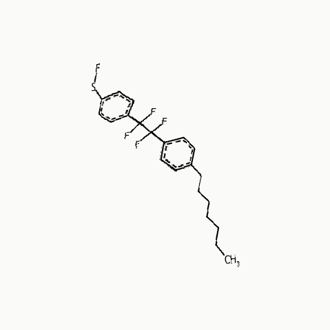 CCCCCCCc1ccc(C(F)(F)C(F)(F)c2ccc(SF)cc2)cc1